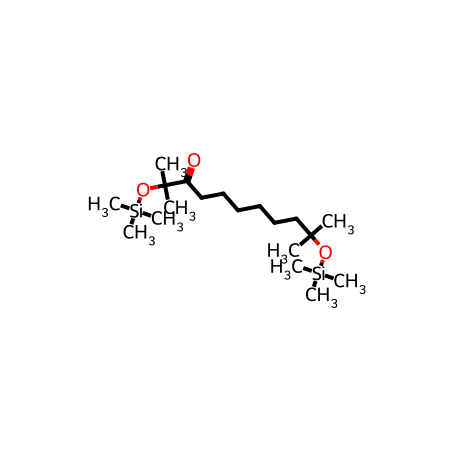 CC(C)(CCCCCCC(=O)C(C)(C)O[Si](C)(C)C)O[Si](C)(C)C